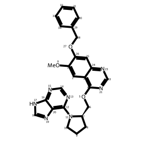 COc1cc2c(OC[C@H]3CCCN3c3ncnc4[nH]cnc34)ncnc2cc1OCc1ccccc1